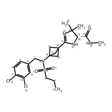 CCCS(=O)(=O)N(Cc1ccc(Cl)c(Cl)c1)C12CC(C3=NC(C)(C)[C@H](C(=O)NC)N3)(C1)C2